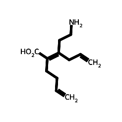 C=CCCC(C(=O)O)=C(CC=C)CCN